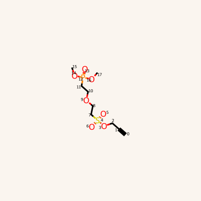 C#CCOS(=O)(=O)CCOCCP(=O)(OC)OC